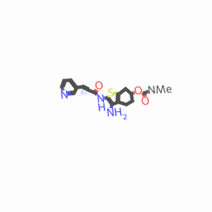 CNC(=O)OC1CCc2c(sc(NC(=O)/C=C/c3cccnc3)c2N)C1